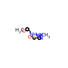 CNc1nccc(-c2ccc(C(=O)NCCc3cccc(OC)c3)s2)n1